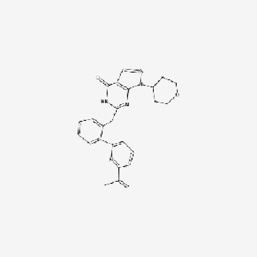 C=C(C)c1cccc(-c2ccccc2Cc2nc3c(cnn3C3CCOCC3)c(=O)[nH]2)n1